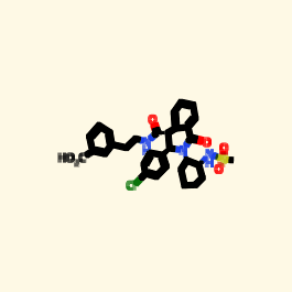 CS(=O)(=O)N[C@H]1CCCC[C@@H]1N1C(=O)c2ccccc2[C@@H](C(=O)NCCc2cccc(C(=O)O)c2)[C@@H]1c1ccc(Cl)cc1